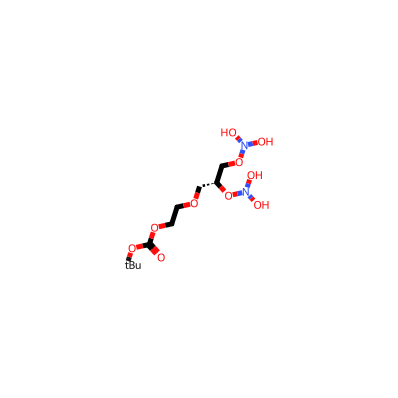 CC(C)(C)OC(=O)OCCOC[C@H](CON(O)O)ON(O)O